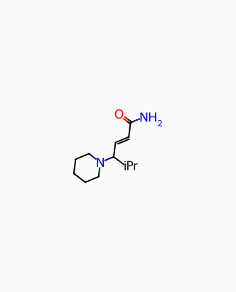 CC(C)C(C=CC(N)=O)N1CCCCC1